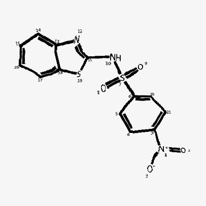 O=[N+]([O-])c1ccc(S(=O)(=O)Nc2nc3ccccc3s2)cc1